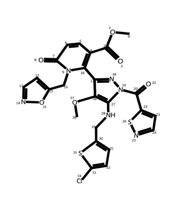 COC(=O)c1ccc(=O)n(Cc2ccno2)c1-c1nn(C(=O)c2ccns2)c(NCc2ccc(Cl)s2)c1OC